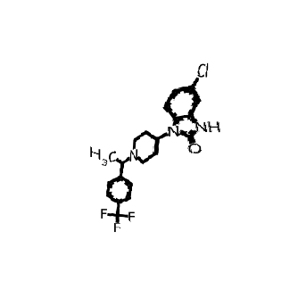 CC(c1ccc(C(F)(F)F)cc1)N1CCC(n2c(=O)[nH]c3cc(Cl)ccc32)CC1